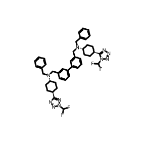 FC(F)n1nnc([C@H]2CC[C@H](N(Cc3ccccc3)Cc3cccc(-c4cccc(CN(Cc5ccccc5)[C@H]5CC[C@H](c6nnnn6C(F)F)CC5)c4)c3)CC2)n1